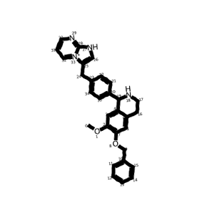 COc1cc2c(cc1OCc1ccccc1)CCNC2c1ccc(Cc2c[nH]c3nccc[n+]23)cc1